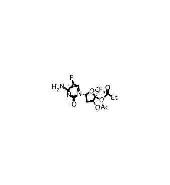 CCC(=O)O[C@]1(C(F)(F)F)O[C@@H](n2cc(F)c(N)nc2=O)C[C@@H]1OC(C)=O